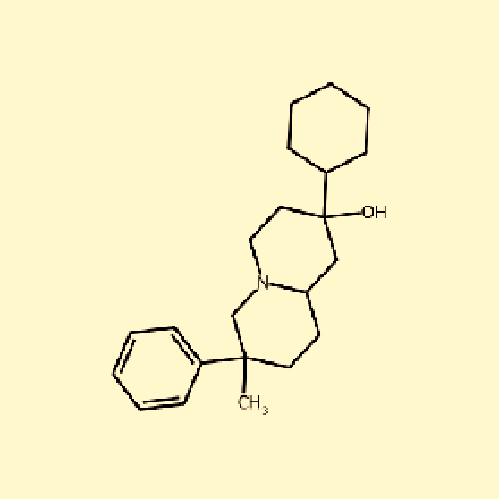 CC1(c2ccccc2)CCC2CC(O)(C3CCCCC3)CCN2C1